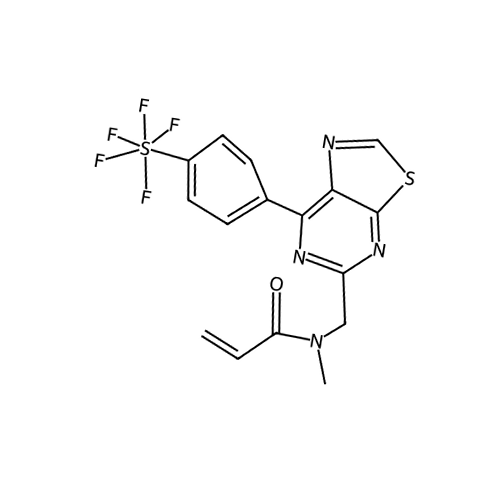 C=CC(=O)N(C)Cc1nc(-c2ccc(S(F)(F)(F)(F)F)cc2)c2ncsc2n1